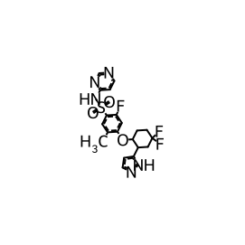 Cc1cc(S(=O)(=O)Nc2ccncn2)c(F)cc1OC1CCC(F)(F)CC1c1ccn[nH]1